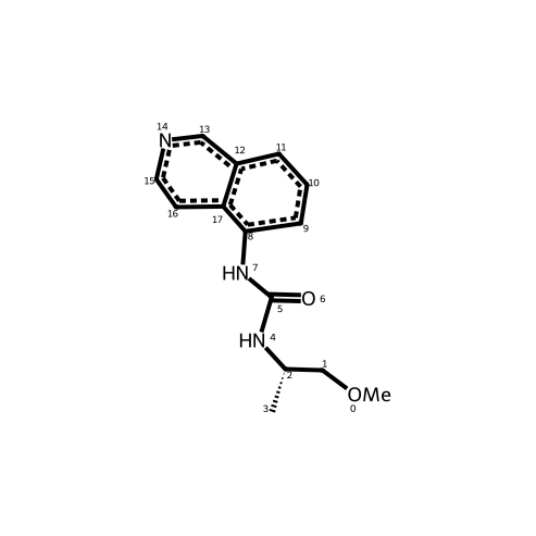 COC[C@H](C)NC(=O)Nc1cccc2cnccc12